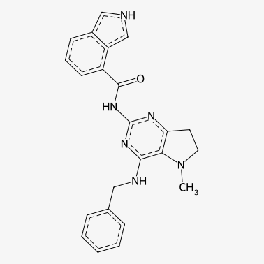 CN1CCc2nc(NC(=O)c3cccc4c[nH]cc34)nc(NCc3ccccc3)c21